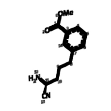 COC(=O)c1cccc(CCC[C@H](N)C#N)c1